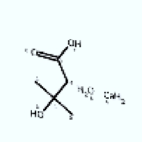 CC(C)(O)CC(=O)O.O.[CaH2]